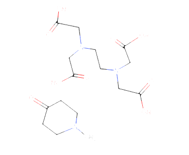 CN1CCC(=O)CC1.O=C(O)CN(CCN(CC(=O)O)CC(=O)O)CC(=O)O